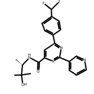 C[C@H](NC(=O)c1cc(-c2ccc(C(F)F)cc2)nc(-c2cccnc2)n1)C(C)(C)O